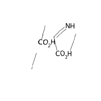 CC.CC.CC(=O)O.N=CC(=O)O